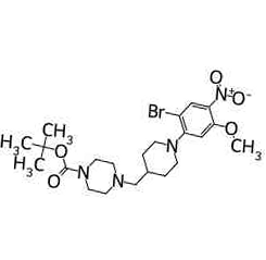 COc1cc(N2CCC(CN3CCN(C(=O)OC(C)(C)C)CC3)CC2)c(Br)cc1[N+](=O)[O-]